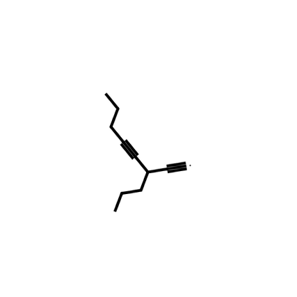 [C]#CC(C#CCCC)CCC